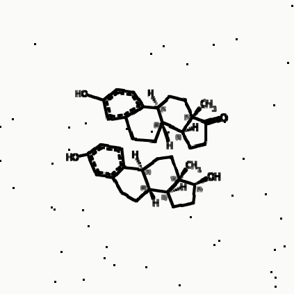 C[C@]12CC[C@@H]3c4ccc(O)cc4CC[C@H]3[C@@H]1CCC2=O.C[C@]12CC[C@@H]3c4ccc(O)cc4CC[C@H]3[C@@H]1CC[C@@H]2O